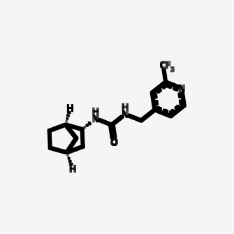 O=C(NCc1ccnc(C(F)(F)F)c1)N[C@@H]1C[C@H]2CC[C@@H]1C2